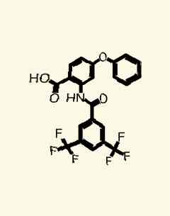 O=C(Nc1cc(Oc2ccccc2)ccc1C(=O)O)c1cc(C(F)(F)F)cc(C(F)(F)F)c1